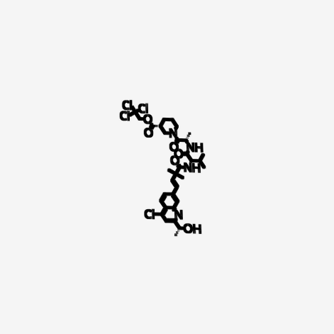 CC(C)[C@H](NC(=O)C(C)(C)/C=C/c1ccc2c(Cl)cc([C@@H](C)O)nc2c1)C(=O)N[C@@H](C)C(=O)N1CCC[C@@H](C(=O)OCC(Cl)(Cl)Cl)C1